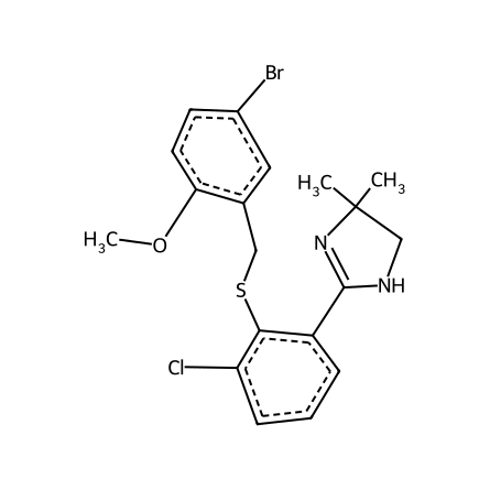 COc1ccc(Br)cc1CSc1c(Cl)cccc1C1=NC(C)(C)CN1